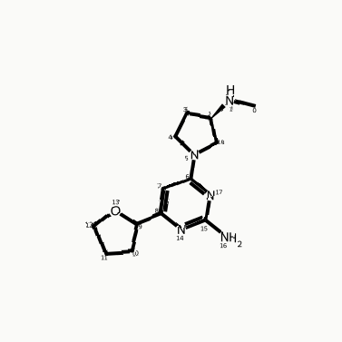 CN[C@@H]1CCN(c2cc(C3CCCO3)nc(N)n2)C1